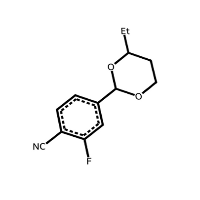 CCC1CCOC(c2ccc(C#N)c(F)c2)O1